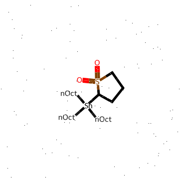 CCCCCCC[CH2][Sn]([CH2]CCCCCCC)([CH2]CCCCCCC)[CH]1CCCS1(=O)=O